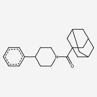 O=C(N1CCC(c2ccccc2)CC1)C12CC3CC(CC(C3)C1)C2